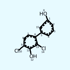 Oc1cccc(-c2ccc(Cl)c(O)c2Cl)c1